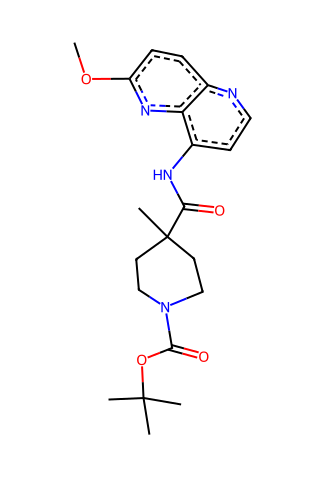 COc1ccc2nccc(NC(=O)C3(C)CCN(C(=O)OC(C)(C)C)CC3)c2n1